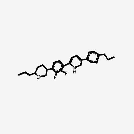 CCCc1ccc(C2=CC=C(c3ccc(C4CCC(CCC)OC4)c(F)c3F)NC2)cc1